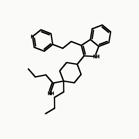 CCCCC1(C(=N)CCC)CCC(c2[nH]c3ccccc3c2CCc2ccncc2)CC1